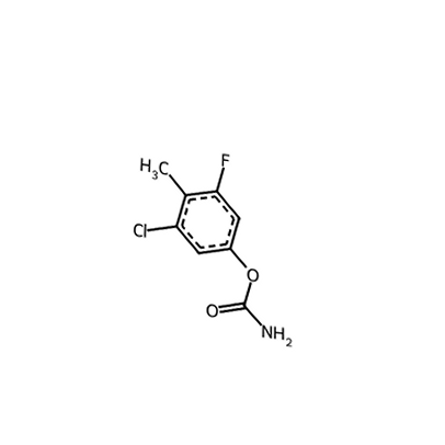 Cc1c(F)cc(OC(N)=O)cc1Cl